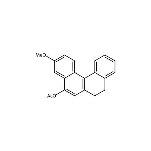 COc1ccc2c3c(cc(OC(C)=O)c2c1)CCc1ccccc1-3